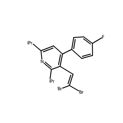 CC(C)c1cc(-c2ccc(F)cc2)c(C=C(Br)Br)c(C(C)C)n1